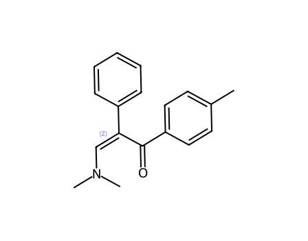 Cc1ccc(C(=O)/C(=C\N(C)C)c2ccccc2)cc1